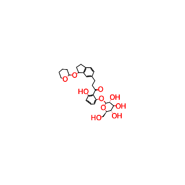 O=C(CCc1ccc2c(c1)C(OC1CCCCO1)CC2)c1c(O)cccc1O[C@@H]1O[C@H](CO)[C@@H](O)[C@H](O)[C@H]1O